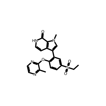 CCS(=O)(=O)c1ccc(Oc2nccnc2C)c(-c2cn(C)c3c(=O)[nH]ccc23)c1